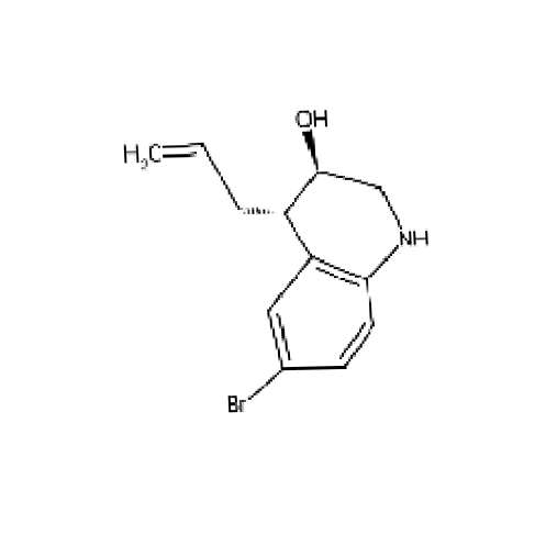 C=CC[C@H]1c2cc(Br)ccc2NC[C@@H]1O